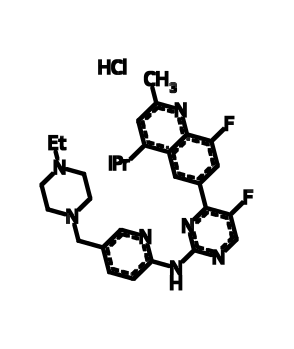 CCN1CCN(Cc2ccc(Nc3ncc(F)c(-c4cc(F)c5nc(C)cc(C(C)C)c5c4)n3)nc2)CC1.Cl